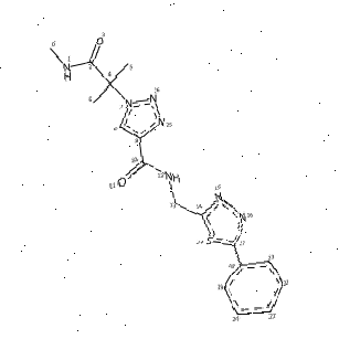 CNC(=O)C(C)(C)n1cc(C(=O)NCc2nnc(-c3ccccc3)s2)nn1